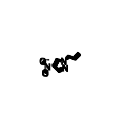 C=CCn1cc([N+](=O)[O-])cn1